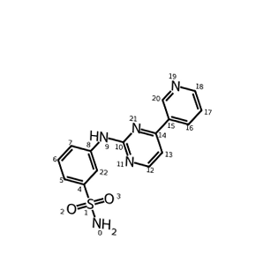 NS(=O)(=O)c1cccc(Nc2nccc(-c3cccnc3)n2)c1